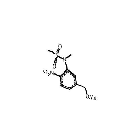 COCc1ccc([N+](=O)[O-])c(N(C)S(C)(=O)=O)c1